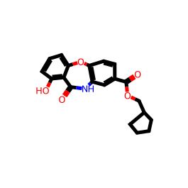 O=C(OCC1CCCC1)c1ccc2c(c1)NC(=O)c1c(O)cccc1O2